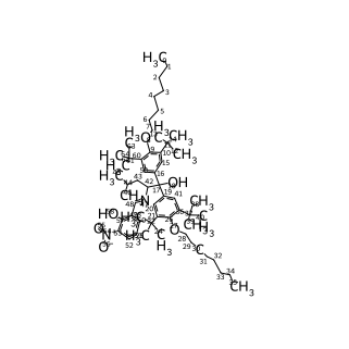 CCCCCCCCOc1c(C(C)(C)C)cc(C(O)(c2cc(C(C)(C)C)c(OCCCCCCCC)c(C(C)(C)C)c2)C(CC(C)C)N=Cc2cccc([N+](=O)[O-])c2O)cc1C(C)(C)C